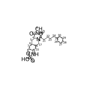 CNC(=O)[C@@H]1Cc2ccc(NS(=O)(=O)O)cc2CN1C(=O)CCCCc1ccccc1